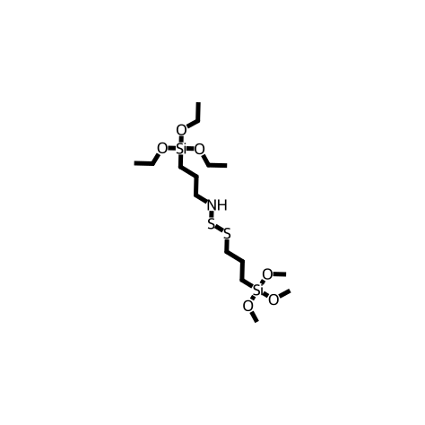 CCO[Si](CCCNSSCCC[Si](OC)(OC)OC)(OCC)OCC